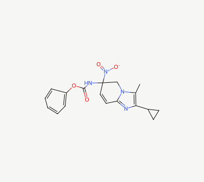 Cc1c(C2CC2)nc2n1CC(NC(=O)Oc1ccccc1)([N+](=O)[O-])C=C2